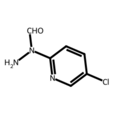 NN(C=O)c1ccc(Cl)cn1